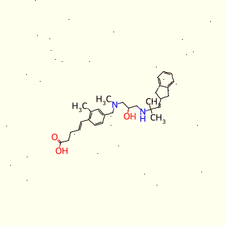 Cc1cc(CN(C)C[C@H](O)CNC(C)(C)CC2Cc3ccccc3C2)ccc1/C=C/CCC(=O)O